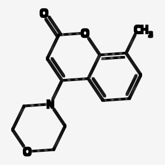 Cc1cccc2c(N3CCOCC3)cc(=O)oc12